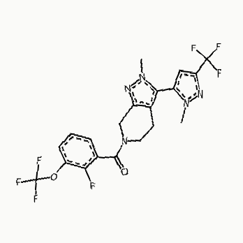 Cn1nc(C(F)(F)F)cc1-c1c2c(nn1C)CN(C(=O)c1cccc(OC(F)(F)F)c1F)CC2